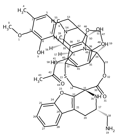 COc1c(C)cc2c(c1O)[C@@H]1[C@@H]3[C@@H]4SC[C@]5(N[C@H](CN)Cc6c5oc5ccccc65)C(=O)OC[C@@H](c5c6c(c(C)c(OC(C)=O)c54)OCO6)N3[C@@H](O)C(C2)N1C